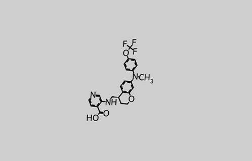 CN(c1ccc(OC(F)(F)F)cc1)c1ccc2c(c1)OCC[C@H]2CNc1cnccc1C(=O)O